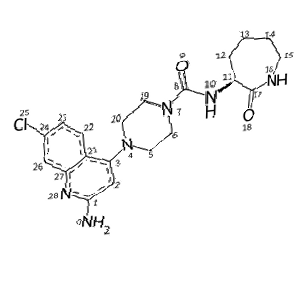 Nc1cc(N2CCN(C(=O)N[C@H]3CCCCNC3=O)CC2)c2ccc(Cl)cc2n1